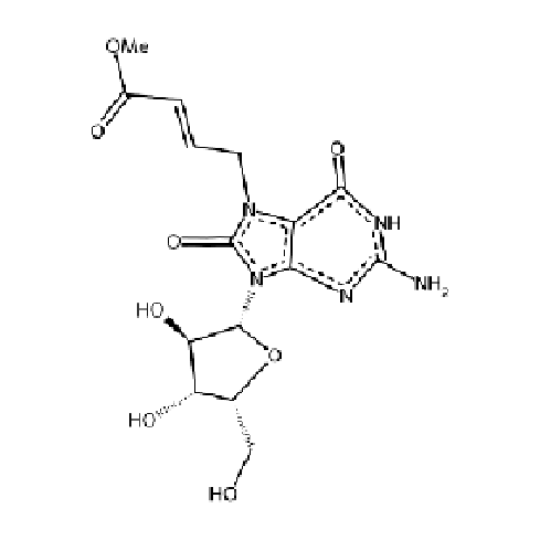 COC(=O)/C=C/Cn1c(=O)n([C@@H]2O[C@H](CO)[C@H](O)[C@H]2O)c2nc(N)[nH]c(=O)c21